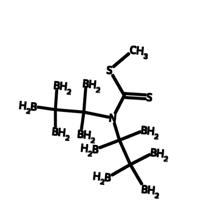 BC(B)(B)C(B)(B)N(C(=S)SC)C(B)(B)C(B)(B)B